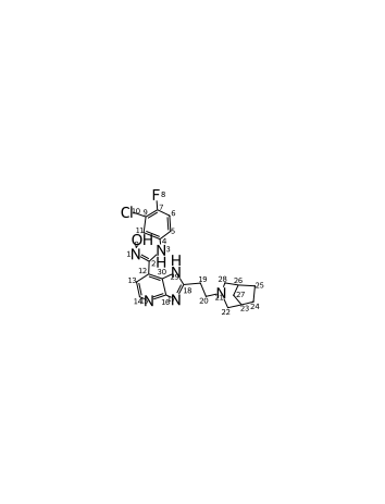 O/N=C(\Nc1ccc(F)c(Cl)c1)c1ccnc2nc(CCN3CC4CCC(C4)C3)[nH]c12